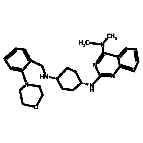 CN(C)c1nc(N[C@H]2CC[C@@H](NCc3ccccc3N3CCOCC3)CC2)nc2ccccc12